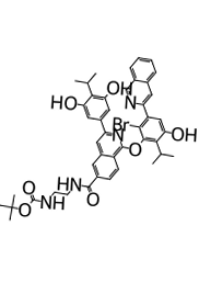 CC(C)c1c(O)cc(-c2cc3cc(C(=O)NCCNC(=O)OC(C)(C)C)ccc3c(Oc3c(Br)c(-c4cc5ccccc5cn4)cc(O)c3C(C)C)n2)cc1O